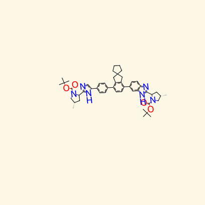 C[C@H]1CC(c2ncc(-c3ccc(-c4ccc(-c5ccc6nc(C7C[C@H](C)CN7C(=O)OC(C)(C)C)[nH]c6c5)c5c4CC4(CCCC4)C5)cc3)[nH]2)N(C(=O)OC(C)(C)C)C1